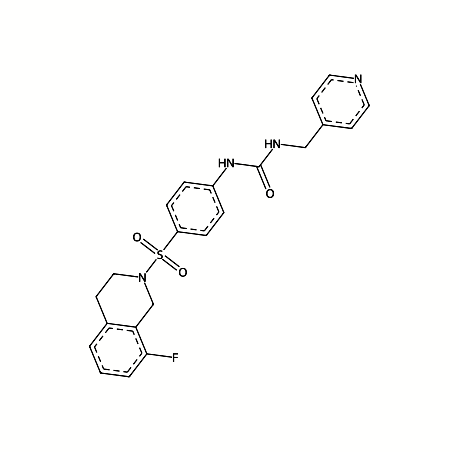 O=C(NCc1ccncc1)Nc1ccc(S(=O)(=O)N2CCc3cccc(F)c3C2)cc1